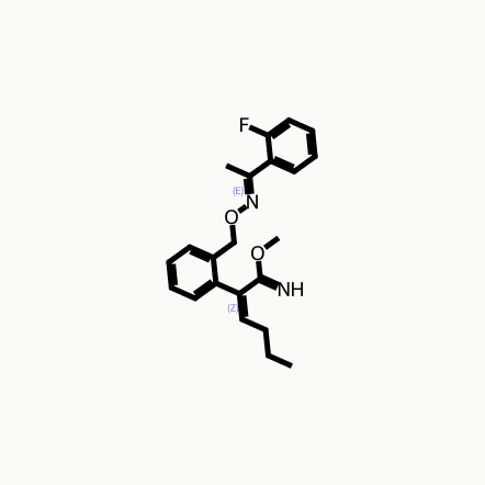 CCC/C=C(\C(=N)OC)c1ccccc1CO/N=C(\C)c1ccccc1F